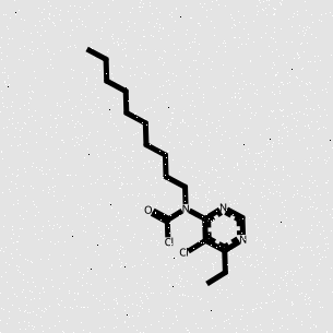 CCCCCCCCCCN(C(=O)Cl)c1ncnc(CC)c1Cl